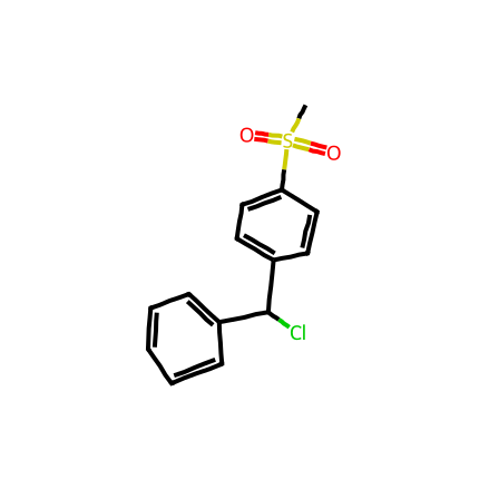 CS(=O)(=O)c1ccc(C(Cl)c2ccccc2)cc1